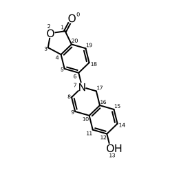 O=C1OCc2cc(N3C=Cc4cc(O)ccc4C3)ccc21